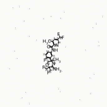 Cc1cc(C(F)F)cnc1C(=O)Nc1ccc(F)c([C@]2(C)COC(CF)(CF)C(N)=N2)c1